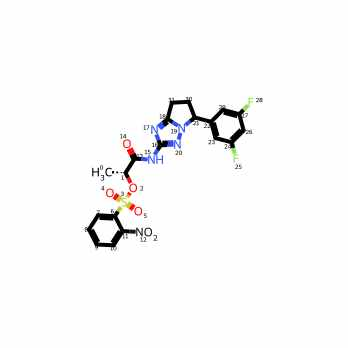 C[C@@H](OS(=O)(=O)c1ccccc1[N+](=O)[O-])C(=O)Nc1nc2n(n1)C(c1cc(F)cc(F)c1)CC2